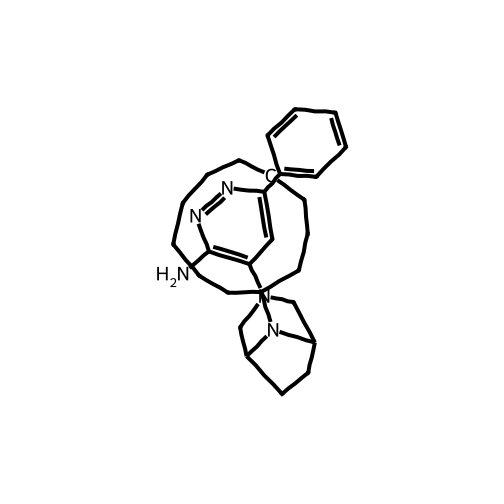 Nc1nnc(-c2ccccc2)cc1N1CC2CCC(C1)N2C1CCCCCCCCCC1